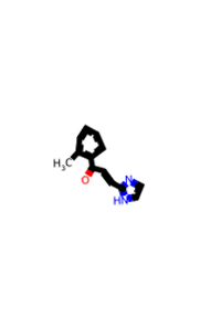 Cc1ccccc1C(=O)C=Cc1ncc[nH]1